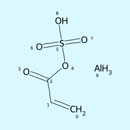 C=CC(=O)OS(=O)(=O)O.[AlH3]